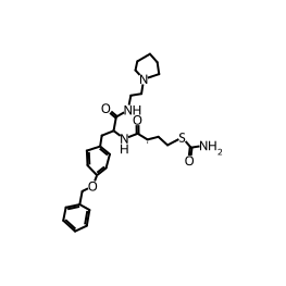 NC(=O)SCC[CH]C(=O)NC(Cc1ccc(OCc2ccccc2)cc1)C(=O)NCCN1CCCCC1